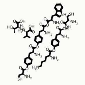 CC(C)[C@H](N)C(=O)O.C[C@@H](O)[C@H](N)C(=O)O.NCCCC[C@H](N)C(=O)Oc1ccc(C[C@H](N)C(=O)O)cc1.N[C@@H](CS)C(=O)O.N[C@H](Cc1c[nH]c2ccccc12)C(=O)OC(=O)[C@@H](N)Cc1ccc(OC(=O)[C@H](N)Cc2ccc(OC(=O)[C@@H](N)CS)cc2)cc1